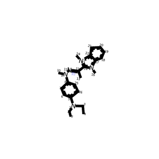 CCN(CC)c1ccc(N(C)/N=C(\C)c2n(C)c3ccccc3[n+]2C)cc1